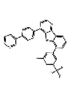 Cc1cc(-c2cccc3c2sc2c(-c4ccc(-c5cccnc5)cc4)cccc23)cc(C(F)(F)F)c1